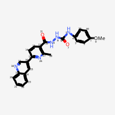 COc1ccc(NC(=O)NNC(=O)c2ccc(-c3cnc4ccccc4c3)nc2C)cc1